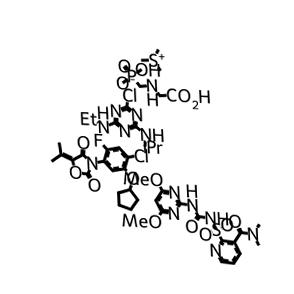 CC(C)=C1OC(=O)N(c2cc(OC3CCCC3)c(Cl)cc2F)C1=O.CCNc1nc(Cl)nc(NC(C)C)n1.COc1cc(OC)nc(NC(=O)NS(=O)(=O)c2ncccc2C(=O)N(C)C)n1.C[S+](C)C.O=C(O)CNCP(=O)([O-])O